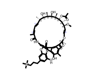 CO[C@H]1/C=C/O[C@@]2(C)Oc3c(C)c(O)c4c(=O)c(c5oc6cc(CCC[N+](C)(C)C)cc(O)c6nc-5c4c3C2=O)NC(=O)/C(C)=C\C=C\[C@H](C)[C@H](O)[C@@H](C)[C@@H](O)[C@@H](C)[C@H](OC(C)=O)[C@@H]1C